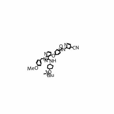 COc1ccc(Cn2nc(N[C@H]3CC[C@H](O[Si](C)(C)C(C)(C)C)CC3)c3c(Oc4ccc(C(=O)Nc5cc(C#N)ccn5)cc4)ccnc32)cc1